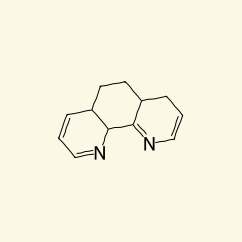 C1=CC2CCC3CC=CN=C3C2N=C1